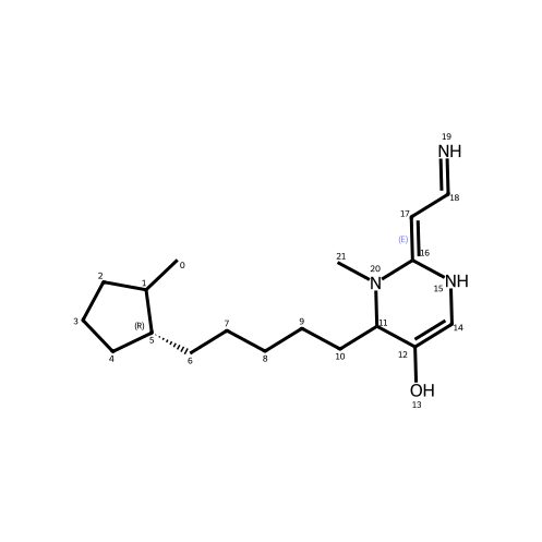 CC1CCC[C@H]1CCCCCC1C(O)=CN/C(=C\C=N)N1C